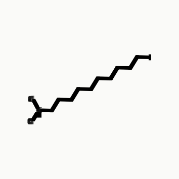 Cl[SiH](Cl)CCCCCCCCCCI